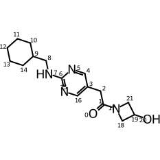 O=C(Cc1cnc(NCC2CCCCC2)nc1)N1CC(O)C1